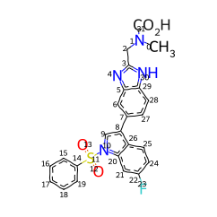 CN(Cc1nc2cc(-c3cn(S(=O)(=O)c4ccccc4)c4cc(F)ccc34)ccc2[nH]1)C(=O)O